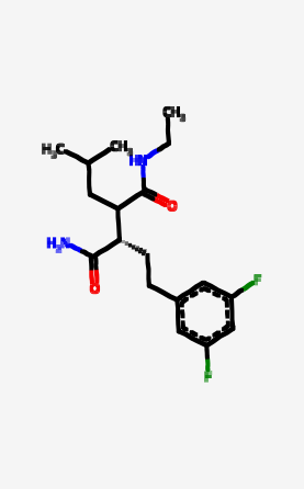 CCNC(=O)C(CC(C)C)[C@H](CCc1cc(F)cc(F)c1)C(N)=O